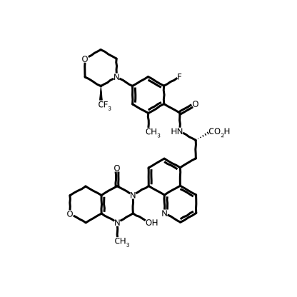 Cc1cc(N2CCOC[C@@H]2C(F)(F)F)cc(F)c1C(=O)N[C@@H](Cc1ccc(N2C(=O)C3=C(COCC3)N(C)C2O)c2ncccc12)C(=O)O